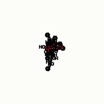 O=C(NCC[C@H](O)C(=O)N[C@@H]1C[C@H](NC(=O)OCc2ccccc2)[C@@H](O[C@H]2O[C@H](CO)CC[C@H]2NC(=O)OCc2ccccc2)[C@H](O[C@@H]2O[C@H](CO)[C@@H](O[C@H]3O[C@@H](CNC(=O)OCc4ccccc4)[C@@H](O)[C@H](O)[C@H]3NC(=O)OCc3ccccc3)[C@H]2OCCN(CCc2ccccc2)C(=O)OCc2ccccc2)[C@H]1O)OCc1ccccc1